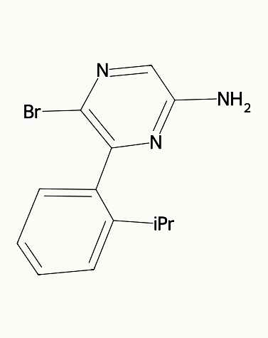 CC(C)c1ccccc1-c1nc(N)cnc1Br